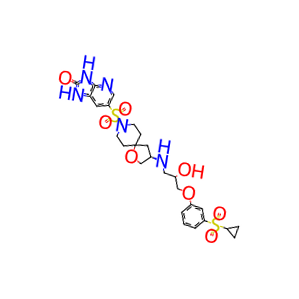 O=c1[nH]c2cc(S(=O)(=O)N3CCC4(CC3)C[C@@H](NC[C@H](O)COc3cccc(S(=O)(=O)C5CC5)c3)CO4)cnc2[nH]1